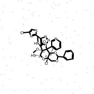 CNC(=O)[C@]1(OC)[C@@H](S)O[C@@]2(Cl)COC(c3ccccc3)O[C@@H]2C1(c1cccnc1)n1cc(-c2nc(Cl)cs2)nn1